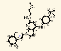 COCCNc1nc(Nc2ccc(P(C)(C)=O)cc2)c2ncn(/C=C/c3c(C)cccc3C)c2n1